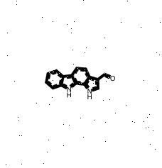 O=Cc1c[nH]c2c1ccc1c3ccccc3[nH]c12